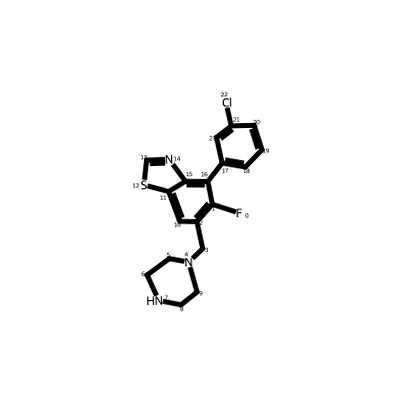 Fc1c(CN2CCNCC2)cc2scnc2c1-c1cccc(Cl)c1